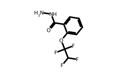 NNC(=O)c1ccccc1OC(F)(F)C(F)F